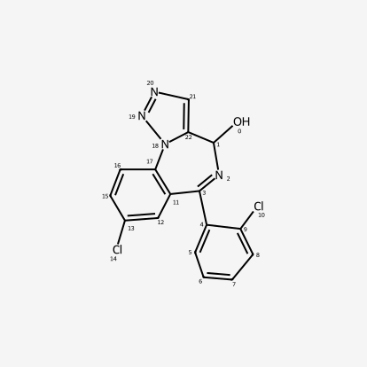 OC1N=C(c2ccccc2Cl)c2cc(Cl)ccc2-n2nncc21